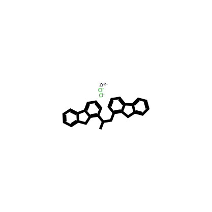 CC(Cc1cccc2c1Cc1ccccc1-2)c1cccc2c1Cc1ccccc1-2.[Cl-].[Cl-].[Zr+2]